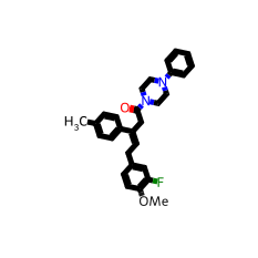 COc1ccc(C/C=C(/CC(=O)N2CCN(c3ccccc3)CC2)c2ccc(C)cc2)cc1F